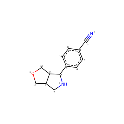 N#Cc1ccc(C2NCC3COCC32)cc1